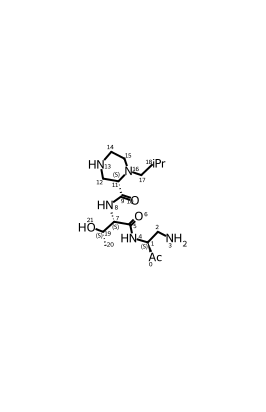 CC(=O)[C@H](CN)NC(=O)[C@@H](NC(=O)[C@@H]1CNCCN1CC(C)C)[C@H](C)O